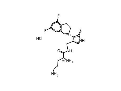 Cl.NCCC[C@H](N)C(=O)NCc1c[nH]c(=S)n1[C@H]1CCc2c(F)cc(F)cc2C1